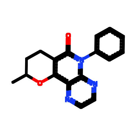 CC1CCc2c(c3nccnc3n(-c3ccccc3)c2=O)O1